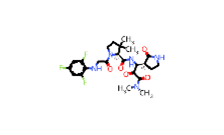 CN(C)C(=O)C(=O)C(NC(=O)[C@H]1N(C(=O)CNc2c(F)cc(F)cc2F)CCC1(C)C)[C@@H]1CCNC1=O